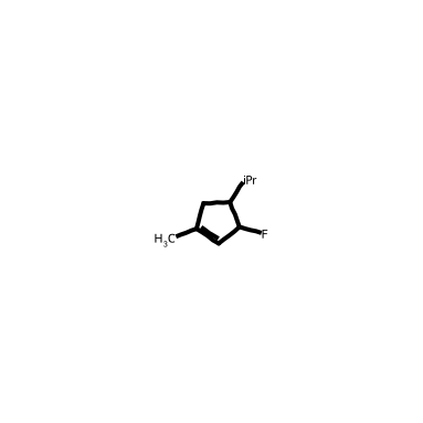 CC1=CC(F)C(C(C)C)C1